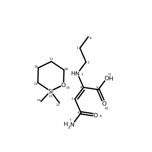 CCCN/C(=C/C(N)=O)C(=O)O.C[Si]1(C)CCCCO1